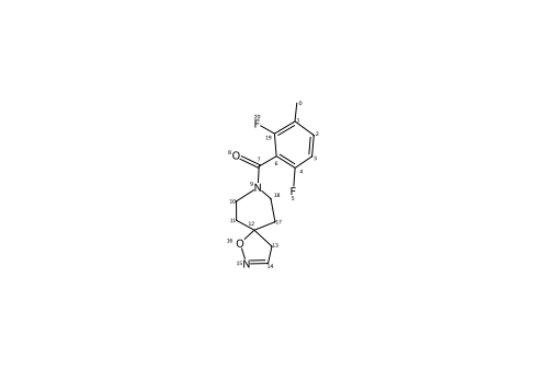 Cc1ccc(F)c(C(=O)N2CCC3(CC=NO3)CC2)c1F